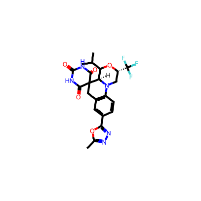 Cc1nnc(-c2ccc3c(c2)CC2(C(=O)NC(=O)NC2=O)[C@H]2C(C(C)C)O[C@H](C(F)(F)F)CN32)o1